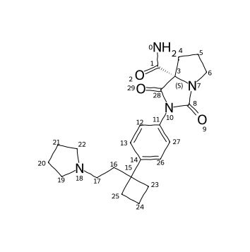 NC(=O)[C@]12[CH]CCN1C(=O)N(c1ccc(C3(CCN4CCCC4)CCC3)cc1)C2=O